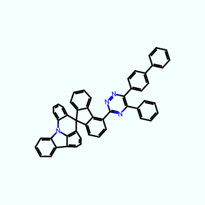 c1ccc(-c2ccc(-c3nnc(-c4cccc5c4-c4ccccc4C54c5ccccc5-n5c6ccccc6c6cccc4c65)nc3-c3ccccc3)cc2)cc1